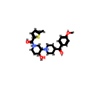 COc1ccc(C(=O)C2CCN(C3CN(C(=O)c4ccc(C)s4)CCC3O)CC2)cc1